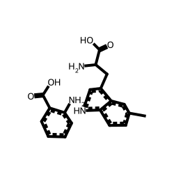 Cc1ccc2[nH]cc(CC(N)C(=O)O)c2c1.Nc1ccccc1C(=O)O